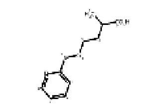 CC(CCSSc1ccccn1)C(=O)O